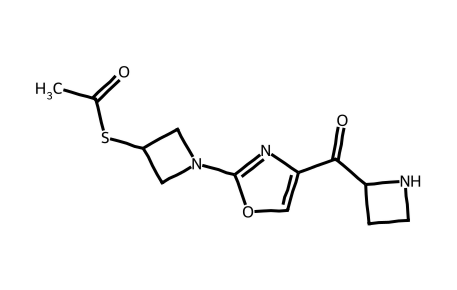 CC(=O)SC1CN(c2nc(C(=O)C3CCN3)co2)C1